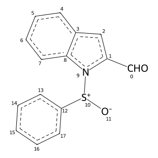 O=Cc1cc2ccccc2n1[S+]([O-])c1ccccc1